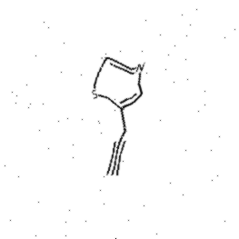 C#Cc1cn[c]s1